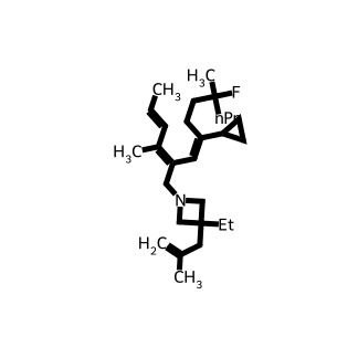 C=C(C)CC1(CC)CN(CC(/C=C(\CCC(C)(F)CCC)C2CC2)=C(C)/C=C/C)C1